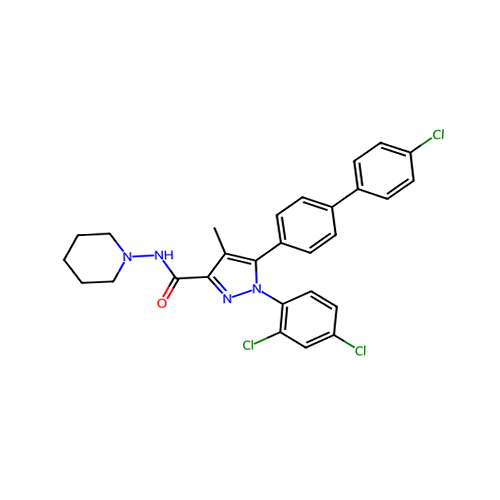 Cc1c(C(=O)NN2CCCCC2)nn(-c2ccc(Cl)cc2Cl)c1-c1ccc(-c2ccc(Cl)cc2)cc1